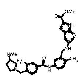 CNC1CCN(Cc2ccc(C(=O)Nc3ccc(C)c(CNc4cnc5[nH]c(C(=O)OC)cc5c4)c3)cc2C(F)(F)F)C1